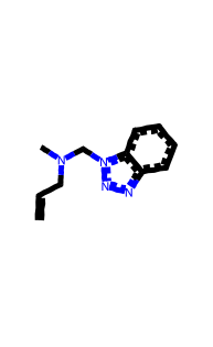 C=CCN(C)Cn1nnc2ccccc21